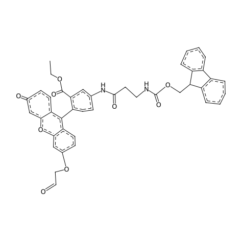 CCOC(=O)c1cc(NC(=O)CCNC(=O)OCC2c3ccccc3-c3ccccc32)ccc1-c1c2ccc(=O)cc-2oc2cc(OCC=O)ccc12